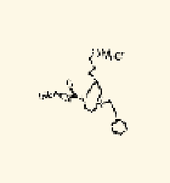 COCCC[C@H]1CN(Cc2ccccc2)CCN1C(=O)OC(C)(C)C